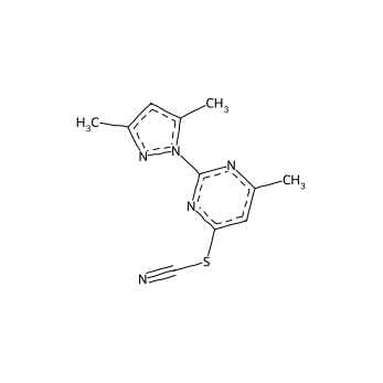 Cc1cc(SC#N)nc(-n2nc(C)cc2C)n1